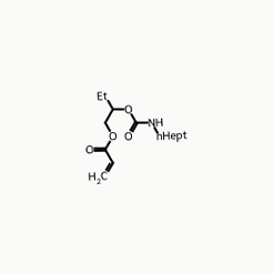 C=CC(=O)OCC(CC)OC(=O)NCCCCCCC